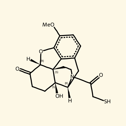 COc1ccc2c3c1O[C@H]1C(=O)CC[C@@]4(O)[C@@H](C2)N(C(=O)CS)CC[C@]314